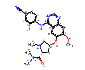 COc1cc2ncnc(Nc3ccc(C#N)cc3F)c2cc1O[C@H]1C[C@H](C(=O)N(C)C)N(C)C1